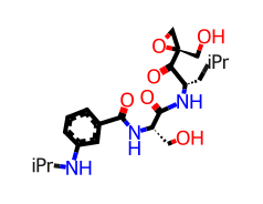 CC(C)C[C@H](NC(=O)[C@H](CO)NC(=O)c1cccc(NC(C)C)c1)C(=O)[C@@]1(CO)CO1